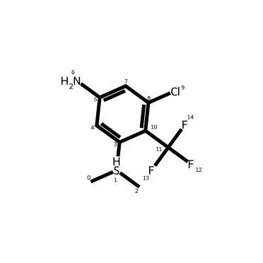 C[SH](C)c1cc(N)cc(Cl)c1C(F)(F)F